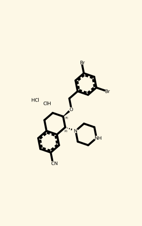 Cl.Cl.N#Cc1ccc2c(c1)[C@@H](N1CCNCC1)[C@H](OCc1cc(Br)cc(Br)c1)CC2